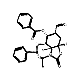 CC(=O)N1C(=O)O[C@H]2C[C@H](C=O)[C@@H](OC(=O)c3ccccc3)[C@H](OC(=O)c3ccccc3)[C@H]21